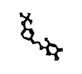 O=c1nc(OCCc2ccc(OC(F)(F)F)cc2)c(F)c[nH]1